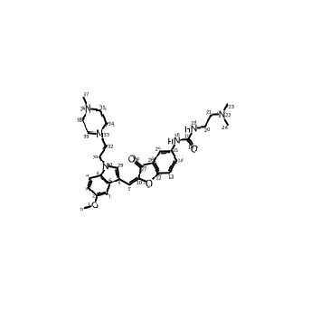 COc1ccc2c(c1)c(C=C1Oc3ccc(NC(=O)NCCN(C)C)cc3C1=O)cn2CCN1CCN(C)CC1